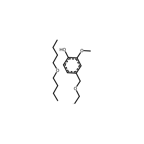 CCCCOCCCC.[CH2]COCc1ccc(O)c(OC)c1